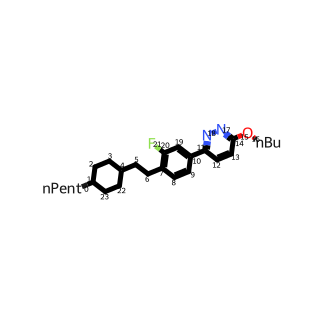 CCCCCC1CCC(CCc2ccc(-c3ccc(OCCCC)nn3)cc2F)CC1